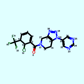 O=C(C1=CC=CC(C(F)(F)F)C1Cl)N1CCc2c(nnn2-c2cncnc2)C1